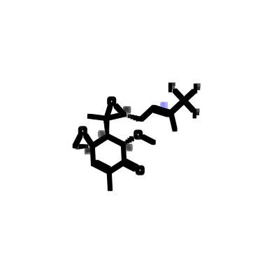 CO[C@@H]1C(=O)C(C)=C[C@]2(CO2)[C@H]1C1(C)O[C@@H]1C/C=C(\C)C(F)(F)F